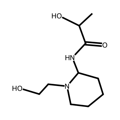 CC(O)C(=O)NC1CCCCN1CCO